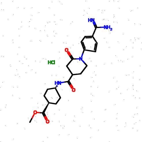 COC(=O)[C@H]1CC[C@H](NC(=O)C2CCN(c3ccc(C(=N)N)cc3)C(=O)C2)CC1.Cl